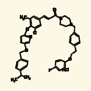 Cc1cc(C=CC(=O)N2CCN(Cc3ccc(CCOc4ccc(F)cc4)cc3)CC2)cc(Cl)c1Oc1ccc(OCc2ccc(C(C)C)cc2)cn1.Cl